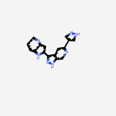 c1cnc2cc(-c3n[nH]c4cnc(-c5cn[nH]c5)cc34)[nH]c2c1